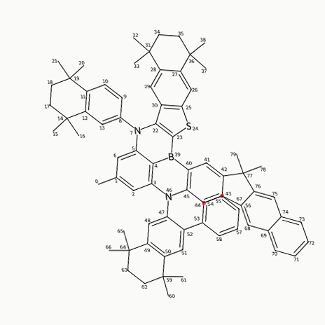 Cc1cc2c3c(c1)N(c1ccc4c(c1)C(C)(C)CCC4(C)C)c1c(sc4cc5c(cc14)C(C)(C)CCC5(C)C)B3c1cc3c(cc1N2c1cc2c(cc1-c1ccccc1)C(C)(C)CCC2(C)C)-c1cc2ccccc2cc1C3(C)C